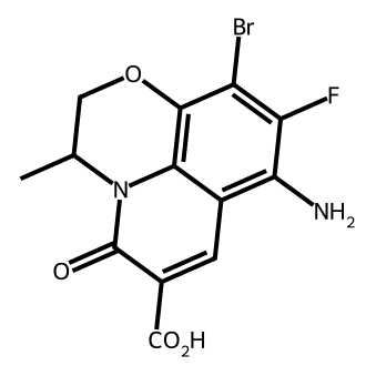 CC1COc2c(Br)c(F)c(N)c3cc(C(=O)O)c(=O)n1c23